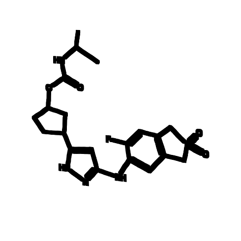 CC(C)NC(=O)OC1CCC(c2cc(Nc3cc4c(cc3F)CS(=O)(=O)C4)n[nH]2)C1